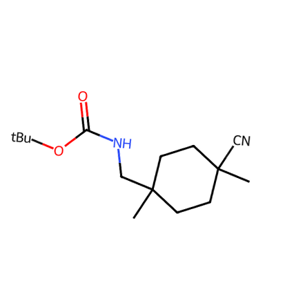 CC1(C#N)CCC(C)(CNC(=O)OC(C)(C)C)CC1